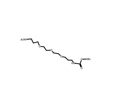 CC(=O)NCCCOCCOCCOCCCNC(=O)OC(C)(C)C